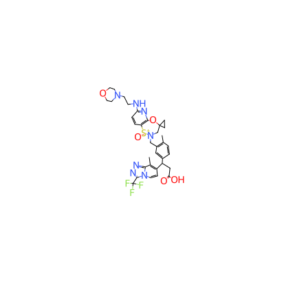 Cc1ccc(C(CC(=O)O)c2ccn3c(C(F)(F)F)nnc3c2C)cc1CN1CC2(CC2)Oc2nc(NCCN3CCOCC3)ccc2[S+]1[O-]